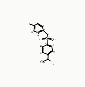 Cc1ccc(CS(=O)(=O)c2ccc(C(Cl)Cl)cc2)nn1